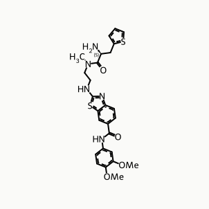 COc1ccc(NC(=O)c2ccc3nc(NCCN(C)C(=O)[C@@H](N)Cc4cccs4)sc3c2)cc1OC